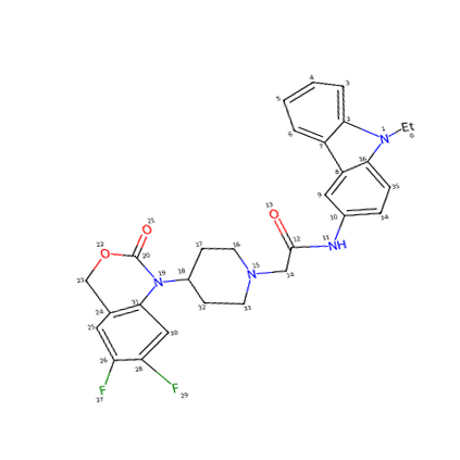 CCn1c2ccccc2c2cc(NC(=O)CN3CCC(N4C(=O)OCc5cc(F)c(F)cc54)CC3)ccc21